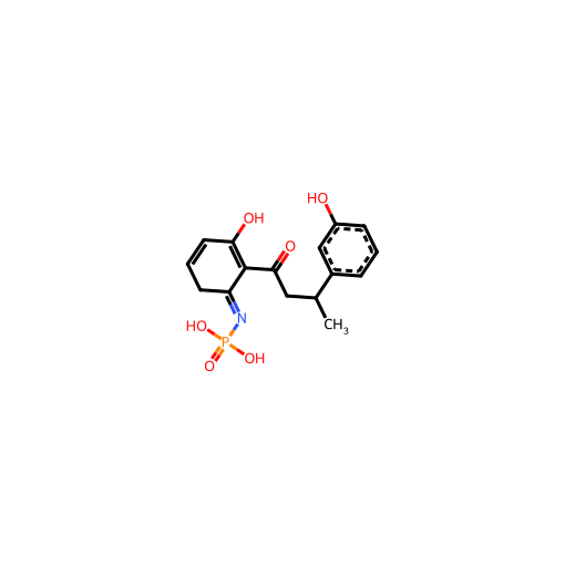 CC(CC(=O)C1=C(O)C=CCC1=NP(=O)(O)O)c1cccc(O)c1